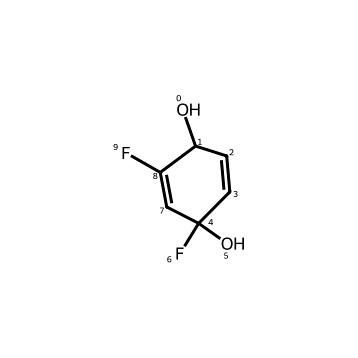 OC1C=CC(O)(F)C=C1F